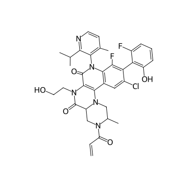 C=CC(=O)N1CC2C(=O)N(CCO)c3c(c4cc(Cl)c(-c5c(O)cccc5F)c(F)c4n(-c4c(C)ccnc4C(C)C)c3=O)N2CC1C